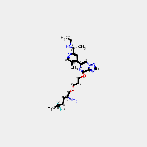 CCN[C@H](C)c1cc(-c2cn3ncnc3c(OCCCOC[C@@H](N)CCC(C)(F)F)n2)c(C)cn1